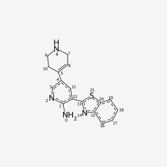 Nc1ncc(C2=CCNCC2)cc1-c1nc2ccccc2s1